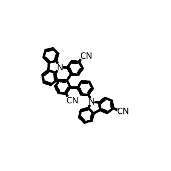 N#Cc1ccc(-c2cccc(C#N)c2-c2cccc(-n3c4ccccc4c4cc(C#N)ccc43)c2)c(-n2c3ccccc3c3ccccc32)c1